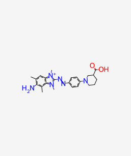 Cc1cc2c(c(C)c1N)n(C)c(N=Nc1ccc(N3CCCC(C(=O)O)C3)cc1)[n+]2C